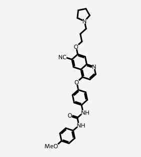 COc1ccc(NC(=O)Nc2ccc(Oc3ccnc4cc(OCCCN5CCCC5)c(C#N)cc34)cc2)cc1